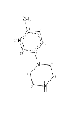 Cc1ccc(N2CCNCC2)cn1